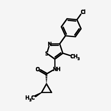 Cc1c(-c2ccc(Cl)cc2)nsc1NC(=O)[C@@H]1C[C@H]1C